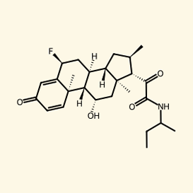 CCC(C)NC(=O)C(=O)[C@H]1[C@H](C)C[C@H]2[C@@H]3C[C@H](F)C4=CC(=O)C=C[C@]4(C)[C@H]3[C@@H](O)C[C@@]21C